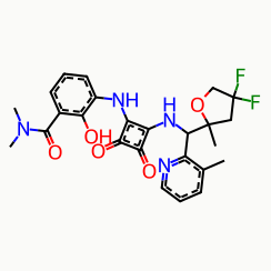 Cc1cccnc1C(Nc1c(Nc2cccc(C(=O)N(C)C)c2O)c(=O)c1=O)C1(C)CC(F)(F)CO1